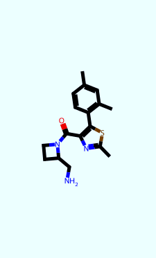 Cc1ccc(-c2sc(C)nc2C(=O)N2CCC2CN)c(C)c1